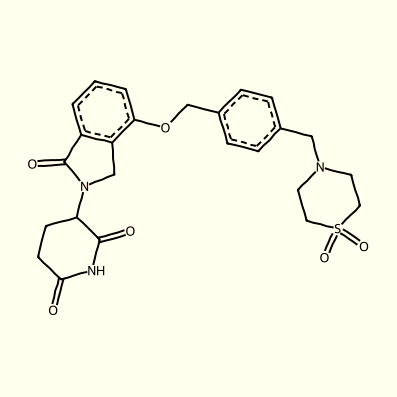 O=C1CCC(N2Cc3c(OCc4ccc(CN5CCS(=O)(=O)CC5)cc4)cccc3C2=O)C(=O)N1